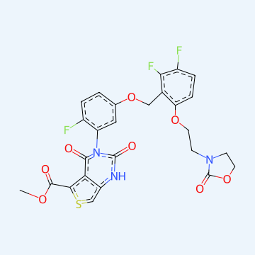 COC(=O)c1scc2[nH]c(=O)n(-c3cc(OCc4c(OCCN5CCOC5=O)ccc(F)c4F)ccc3F)c(=O)c12